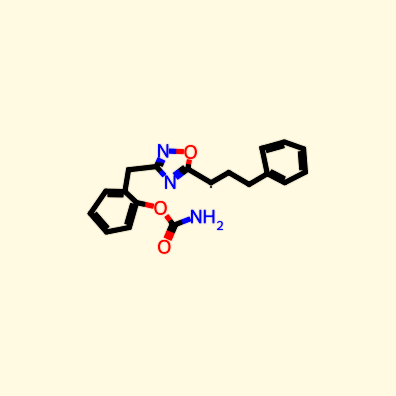 NC(=O)Oc1ccccc1Cc1noc([CH]CCc2ccccc2)n1